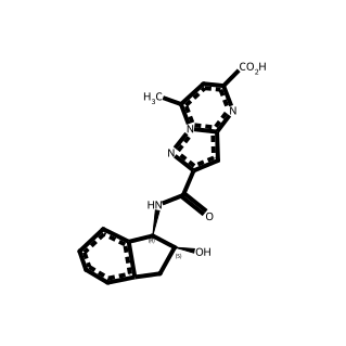 Cc1cc(C(=O)O)nc2cc(C(=O)N[C@@H]3c4ccccc4C[C@@H]3O)nn12